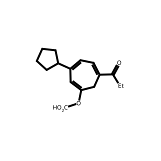 CCC(=O)C1=CC=C(C2CCCC2)C=C(OC(=O)O)C1